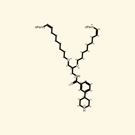 CCCCC/C=C\CCCCCCCOCC(CNC(=O)c1cccc(C2CCNCC2)c1)OCCCCCCC/C=C\CCCCC